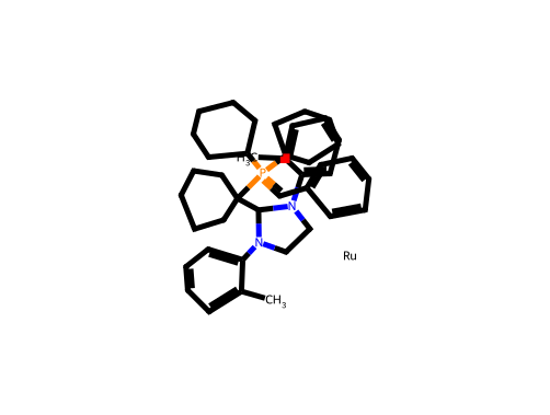 Cc1ccccc1N1CCN(c2ccccc2C)C1C1(P(=Cc2ccccc2)(C2CCCCC2)C2CCCCC2)CCCCC1.[Ru]